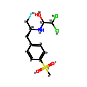 CS(=O)(=O)c1ccc(C[C@@H](CF)NC(O)C(Cl)Cl)cc1